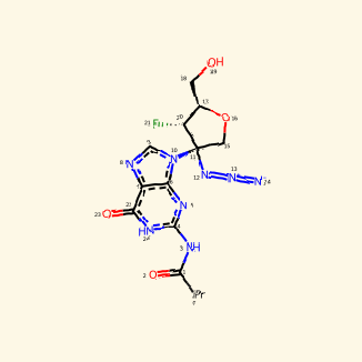 CC(C)C(=O)Nc1nc2c(ncn2[C@]2(N=[N+]=[N-])CO[C@H](CO)[C@H]2F)c(=O)[nH]1